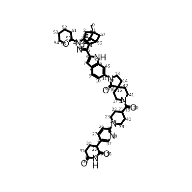 C[C@@]12Cc3c(c(-c4cc5ccc(N6CCC7(CCN(C(=O)C8CCN(c9ccc(C%10CCC(=O)NC%10=O)cn9)CC8)CC7)C6=O)cc5[nH]4)nn3C3CCCCO3)C(C1)C2(F)F